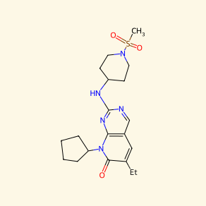 CCc1cc2cnc(NC3CCN(S(C)(=O)=O)CC3)nc2n(C2CCCC2)c1=O